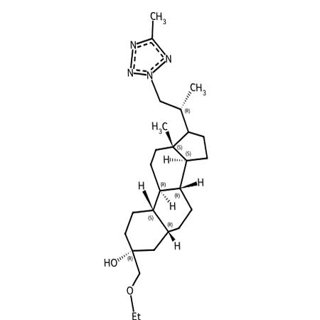 CCOC[C@@]1(O)CC[C@H]2[C@H](CC[C@@H]3[C@@H]2CC[C@]2(C)C([C@@H](C)Cn4nnc(C)n4)CC[C@@H]32)C1